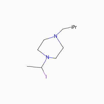 CC(C)CN1CCN(C(C)I)CC1